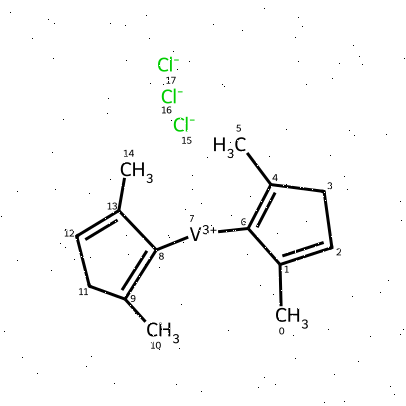 CC1=CCC(C)=[C]1[V+3][C]1=C(C)CC=C1C.[Cl-].[Cl-].[Cl-]